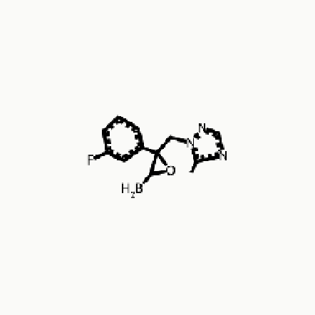 BC1OC1(Cn1ncnc1C)c1cccc(F)c1